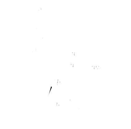 CNc1cc(C(=O)N2CCCCC[C@H]2C)nc2cc(-c3ccc(Br)cc3F)nn12